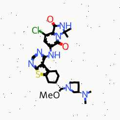 COC([C@H]1CCc2c(sc3ncnc(Nc4cc(Cl)c5n(c4=O)C(C)(C)NC5=O)c23)C1)N1CC[C@H](N(C)C)C1